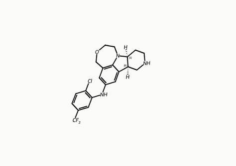 FC(F)(F)c1ccc(Cl)c(Nc2cc3c4c(c2)[C@@H]2CNCC[C@@H]2N4CCOC3)c1